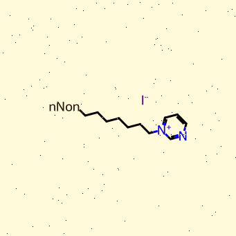 CCCCCCCCCCCCCCCC[n+]1cccnc1.[I-]